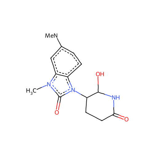 CNc1ccc2c(c1)n(C)c(=O)n2C1CCC(=O)NC1O